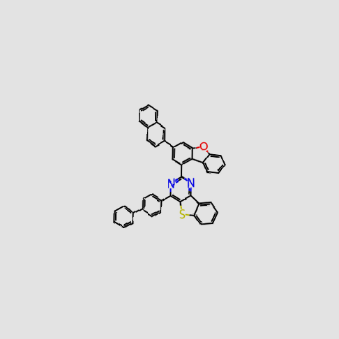 c1ccc(-c2ccc(-c3nc(-c4cc(-c5ccc6ccccc6c5)cc5oc6ccccc6c45)nc4c3sc3ccccc34)cc2)cc1